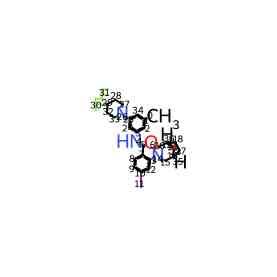 Cc1cc(NC(=O)c2ccc(I)cc2N2C[C@H]3CC[C@@H](C2)C32CC2)cc(N2CCC(F)(F)CC2)c1